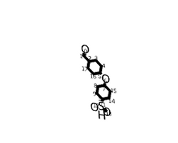 O=CC1CCC(OC2CCC([SH](=O)=O)CC2)CC1